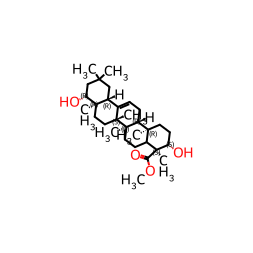 COC(=O)[C@@]1(C)C2CC[C@]3(C)[C@H](CC=C4[C@H]5CC(C)(C)C[C@@H](O)[C@]5(C)CC[C@]43C)[C@@]2(C)CC[C@@H]1O